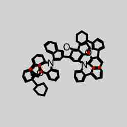 c1ccc(-c2ccccc2N(c2cc3c4cc(N(c5ccccc5-c5ccccc5)c5cccc6c5oc5c(C7CCCCC7)cccc56)c5ccccc5c4oc3c3ccccc23)c2cccc3c2oc2c(C4CCCCC4)cccc23)cc1